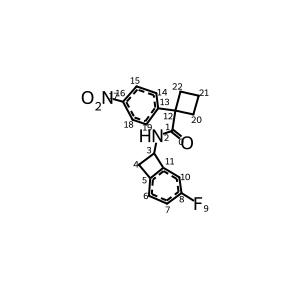 O=C(NC1Cc2ccc(F)cc21)C1(c2ccc([N+](=O)[O-])cc2)CCC1